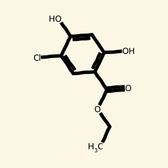 CCOC(=O)c1cc(Cl)c(O)cc1O